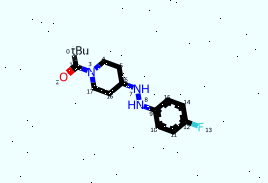 CC(C)(C)C(=O)N1CCC(NNc2ccc(F)cc2)CC1